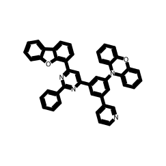 c1ccc(-c2nc(-c3cc(-c4cccnc4)cc(N4c5ccccc5Oc5ccccc54)c3)cc(-c3cccc4c3oc3ccccc34)n2)cc1